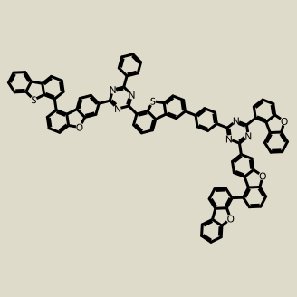 c1ccc(-c2nc(-c3ccc4c(c3)oc3cccc(-c5cccc6c5sc5ccccc56)c34)nc(-c3cccc4c3sc3ccc(-c5ccc(-c6nc(-c7ccc8c(c7)oc7cccc(-c9cccc%10c9oc9ccccc9%10)c78)nc(-c7cccc8oc9ccccc9c78)n6)cc5)cc34)n2)cc1